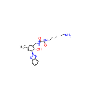 Cc1cc(CNC(=O)C(=O)NCCCCCCN)c(O)c(-n2nc3ccccc3n2)c1